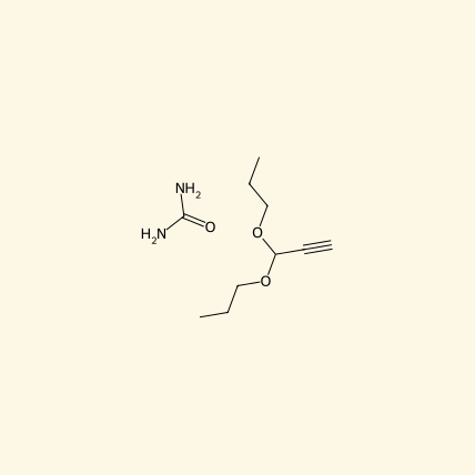 C#CC(OCCC)OCCC.NC(N)=O